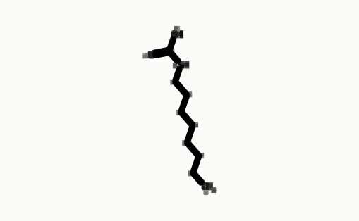 CCCCCCCCNC(=O)O